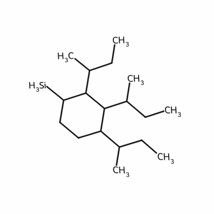 CCC(C)C1CCC([SiH3])C(C(C)CC)C1C(C)CC